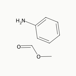 COC=O.Nc1ccccc1